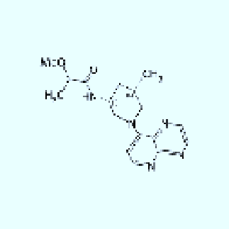 COC(C)C(=O)N[C@@H]1C[C@H](C)CN(c2ccnc3nccnc23)C1